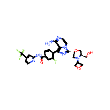 Nc1nccn2c([C@H]3CN(C4COC4)[C@H](CO)CO3)nc(-c3ccc(C(=O)Nc4cc(C(F)(F)F)ccn4)cc3F)c12